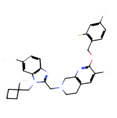 COC1(Cn2c(CN3CCc4cc(C(F)(F)F)c(OCc5ccc(Cl)cc5F)nc4C3)nc3ccc(C(=O)O)cc32)CCC1